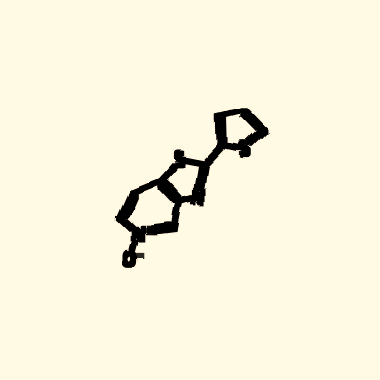 [O-][n+]1ccc2sc(-c3cccs3)nc2c1